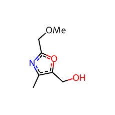 COCc1nc(C)c(CO)o1